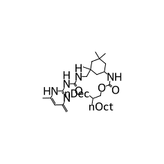 C=C1C=C(C)NC(NC(=O)NCC2(C)CC(NC(=O)OCC(CCCCCCCC)CCCCCCCCCC)CC(C)(C)C2)=N1